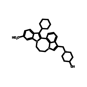 O=C(O)c1ccc2c(C3CCCCC3)c3n(c2c1)CCCn1cc(CN2CCC(O)CC2)c2cccc-3c21